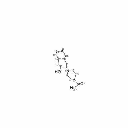 CC(=O)C1CCN(C2Cc3ccccc3CC2O)CC1